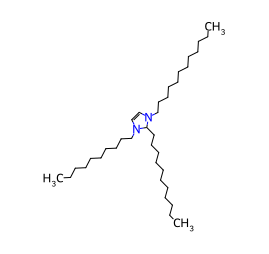 CCCCCCCCCCCCN1C=CN(CCCCCCCCCC)C1CCCCCCCCCCC